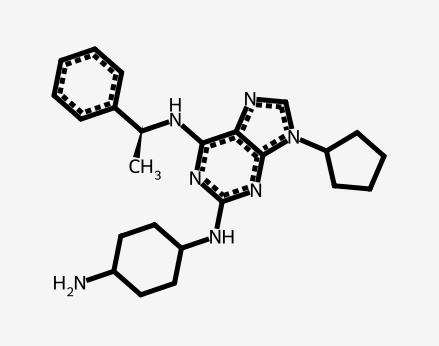 C[C@H](Nc1nc(NC2CCC(N)CC2)nc2c1ncn2C1CCCC1)c1ccccc1